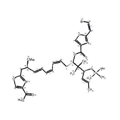 C/C=C/[C@H](O[Si](C)(C)C(C)(C)C)C(C)(C)[C@H](C\C=C/C=C\C=C\[C@@H](Cc1nc(C(=O)OC)co1)OC)OC(=O)c1coc(/C=C\Br)n1